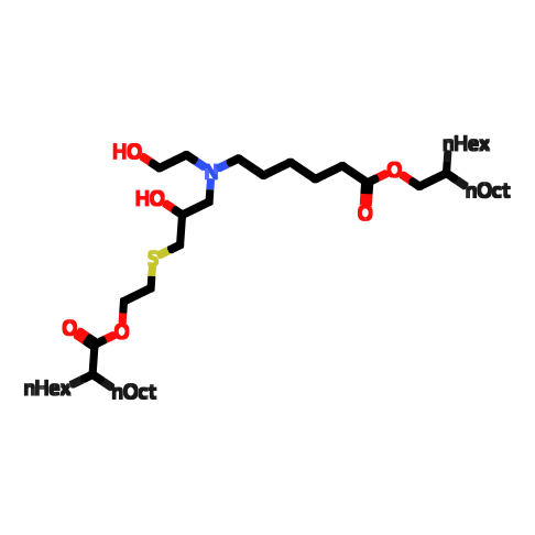 CCCCCCCCC(CCCCCC)COC(=O)CCCCCN(CCO)CC(O)CSCCOC(=O)C(CCCCCC)CCCCCCCC